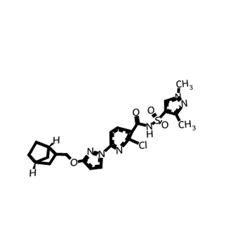 Cc1nn(C)cc1S(=O)(=O)NC(=O)c1ccc(-n2ccc(OCC3C[C@@H]4CC[C@H]3C4)n2)nc1Cl